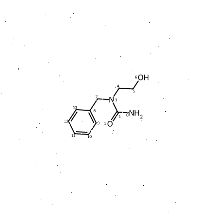 NC(=O)N(CCO)Cc1ccccc1